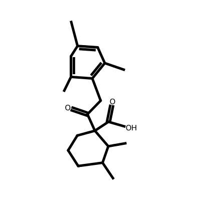 Cc1cc(C)c(CC(=O)C2(C(=O)O)CCCC(C)C2C)c(C)c1